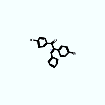 O=C(/C(=C/c1ccccc1)c1ccc(Br)cc1)c1ccc(O)cc1